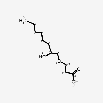 CCCCCCC(O)COCCC(=O)O